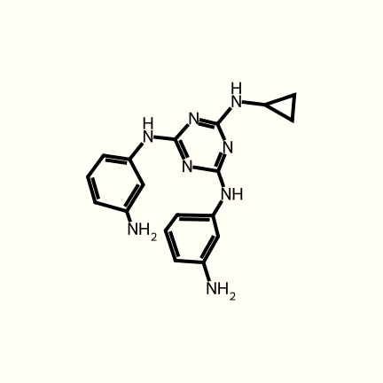 Nc1cccc(Nc2nc(Nc3cccc(N)c3)nc(NC3CC3)n2)c1